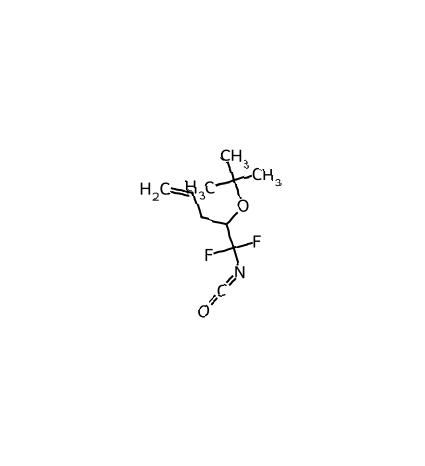 C=CCC(OC(C)(C)C)C(F)(F)N=C=O